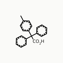 Cc1ccc(C(C(=O)O)(c2ccccc2)c2ccccc2)cc1